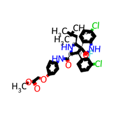 COC(=O)COc1ccc(NC(=O)[C@@H]2N[C@@H](CC(C)(C)C)[C@@]3(C(=O)Nc4cc(Cl)ccc43)[C@H]2c2cccc(Cl)c2F)cc1